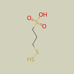 O=S(=O)(O)CCCSS